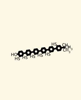 CC(C)(C)c1ccc(-c2ccc(-c3ccc(-c4ccc(-c5ccc(-c6ccc(O)c(S)c6)c(S)c5)c(S)c4)c(S)c3)c(S)c2)c(S)c1